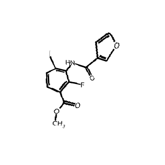 COC(=O)c1ccc(I)c(NC(=O)c2ccoc2)c1F